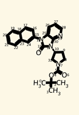 CC(C)(C)OC(=O)N1CC[C@H](n2c(=O)n(-c3ccc4ccccc4c3)c3cccnc32)C1